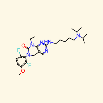 CCN1C(=O)N(c2c(F)ccc(OC)c2F)Cc2cnc(NCCCCCN(C(C)C)C(C)C)nc21